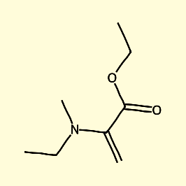 C=C(C(=O)OCC)N(C)CC